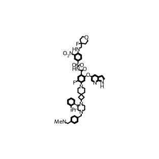 CNCc1ccc(CN2CCN(C3CC4(CCN(c5cc(Oc6cnc7[nH]ccc7c6)c(C(=O)NS(=O)(=O)c6ccc(NCC7(F)CCOCC7)c([N+](=O)[O-])c6)cc5F)CC4)C3)[C@H](c3ccccc3C(C)C)C2)cc1